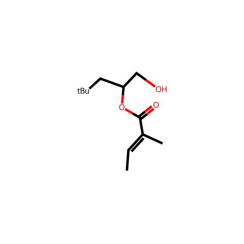 CC=C(C)C(=O)OC(CO)CC(C)(C)C